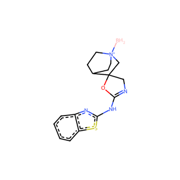 B[N+]12CCC(CC1)C1(CN=C(Nc3nc4ccccc4s3)O1)C2